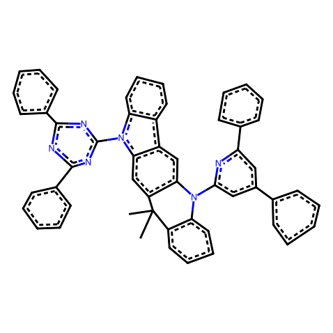 CC1(C)c2ccccc2N(c2cc(-c3ccccc3)cc(-c3ccccc3)n2)c2cc3c4ccccc4n(-c4nc(-c5ccccc5)nc(-c5ccccc5)n4)c3cc21